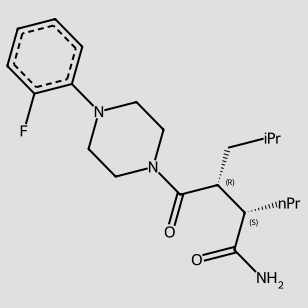 CCC[C@H](C(N)=O)[C@@H](CC(C)C)C(=O)N1CCN(c2ccccc2F)CC1